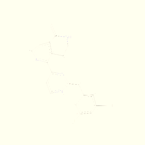 O=C1NCCc2c1ccnc2-c1ccnc(Cc2cc(F)cc(C(F)(F)F)c2)n1